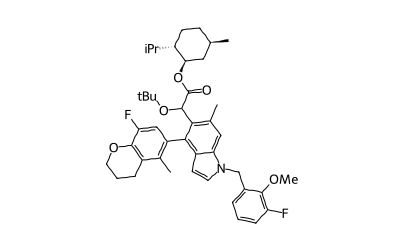 COc1c(F)cccc1Cn1ccc2c(-c3cc(F)c4c(c3C)CCCO4)c(C(OC(C)(C)C)C(=O)O[C@@H]3C[C@H](C)CC[C@H]3C(C)C)c(C)cc21